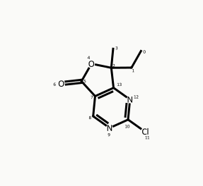 CCC1(C)OC(=O)c2cnc(Cl)nc21